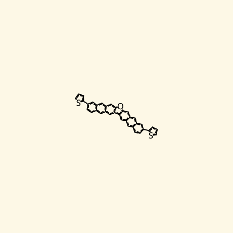 c1csc(-c2ccc3cc4cc5c(cc4cc3c2)oc2cc3cc4cc(-c6cccs6)ccc4cc3cc25)c1